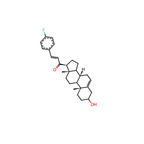 C[C@]12CCC(O)CC1=CC[C@@H]1C2CC[C@@]2(C)C1CC[C@@H]2C(=O)/C=C/c1ccc(F)cc1